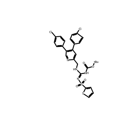 CC(C)(C)OC(=O)N/C(=N\S(=O)(=O)c1cccs1)NCc1cc(-c2ccc(Cl)cc2)c(-c2ccc(Cl)cc2)cn1